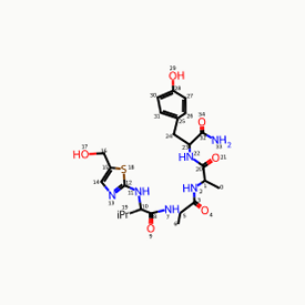 CC(NC(=O)C(C)NC(=O)C(Nc1ncc(CO)s1)C(C)C)C(=O)NC(Cc1ccc(O)cc1)C(N)=O